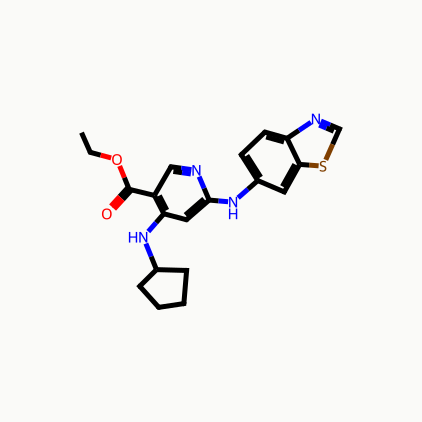 CCOC(=O)c1cnc(Nc2ccc3ncsc3c2)cc1NC1CCCC1